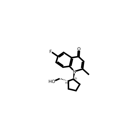 Cc1cc(=O)c2cc(F)ccc2n1[C@H]1CCC[C@@H]1CO